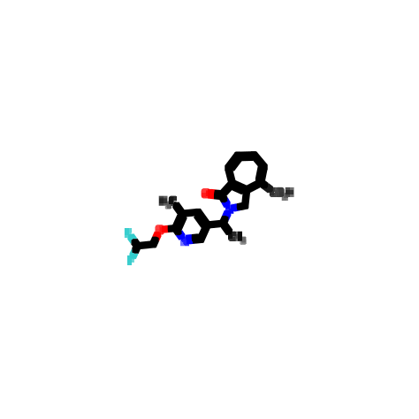 Cc1cc(C(C)N2CC3=C(C=C=CC=C3C(=O)O)C2=O)cnc1OCC(F)F